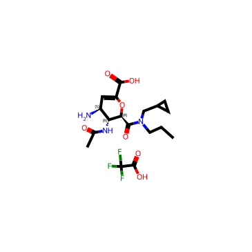 CCCN(CC1CC1)C(=O)[C@@H]1OC(C(=O)O)=C[C@H](N)[C@H]1NC(C)=O.O=C(O)C(F)(F)F